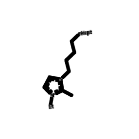 CCCCCCCCCCCn1cc[n+](CC)c1C